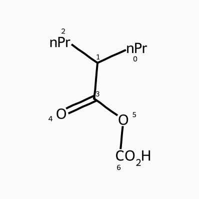 CCCC(CCC)C(=O)OC(=O)O